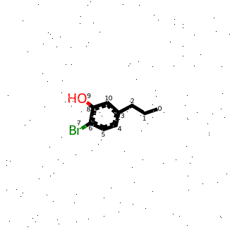 CCCc1ccc(Br)c(O)c1